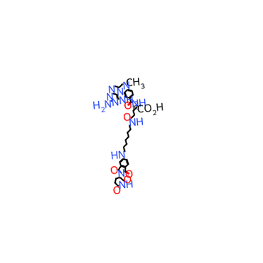 CN(Cc1cnc2nc(N)nc(N)c2n1)c1ccc(C(=O)N[C@H](CCC(=O)NCCCCCCCCNc2ccc3c(c2)C(=O)N(C2CCC(=O)NC2=O)C3=O)C(=O)O)cc1